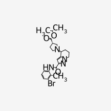 Cc1c(Br)cccc1NC(=O)c1cc2n(n1)CCC[C@@H]2N1CC[C@@H](C(=O)OC(C)C)C1